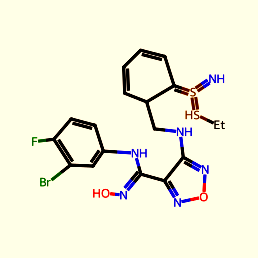 CC[SH]=S(=N)=C1C=CC=CC1CNc1nonc1C(=NO)Nc1ccc(F)c(Br)c1